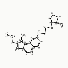 CCCn1c(COCC)nc2cnc3ccc(OCCCN4CCCC4=O)cc3c21